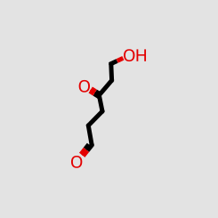 O=CCCC(=O)CCO